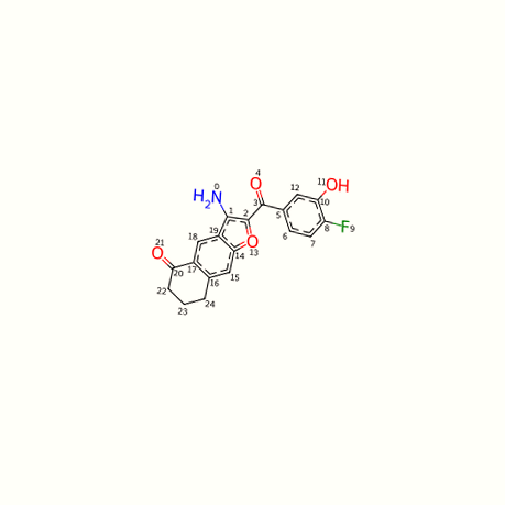 Nc1c(C(=O)c2ccc(F)c(O)c2)oc2cc3c(cc12)C(=O)CCC3